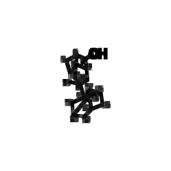 OC1C2CC3CC1CC(C14CC5CC(CC(C5)C1)C4)(C3)C2